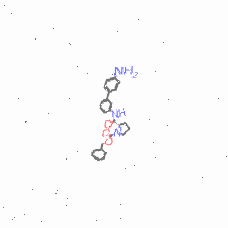 Nc1ccc(-c2cccc(NC(=O)[C@@H]3CCCN3C(=O)OCc3ccccc3)c2)cc1